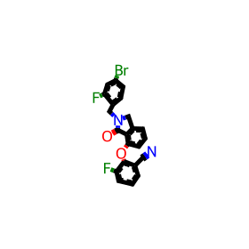 N#Cc1cccc(F)c1Oc1cccc2c1C(=O)N(Cc1ccc(Br)cc1F)C2